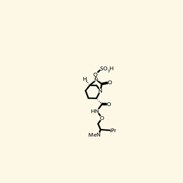 CNC(CONC(=O)[C@@H]1CC[C@@H]2CN1C(=O)N2OS(=O)(=O)O)C(C)C